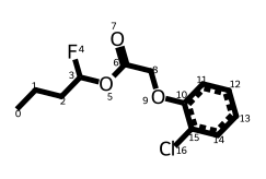 CCCC(F)OC(=O)COc1ccccc1Cl